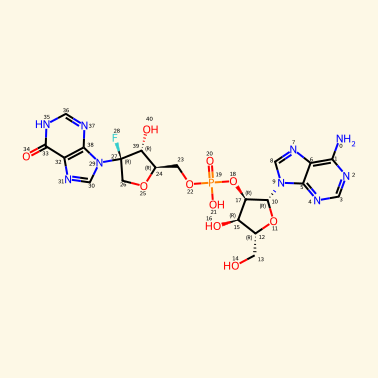 Nc1ncnc2c1ncn2[C@@H]1O[C@H](CO)[C@@H](O)[C@H]1OP(=O)(O)OC[C@H]1OC[C@](F)(n2cnc3c(=O)[nH]cnc32)[C@@H]1O